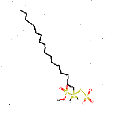 CCCCCCCCCCCCCCCC[SH](C)(C)(SS(=O)(=O)O)S(=O)(=O)OC